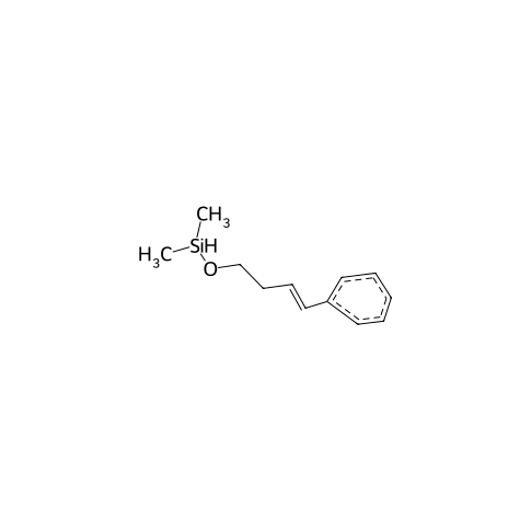 C[SiH](C)OCCC=Cc1ccccc1